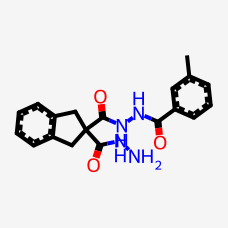 Cc1cccc(C(=O)NNC(=O)C2(C(=O)NN)Cc3ccccc3C2)c1